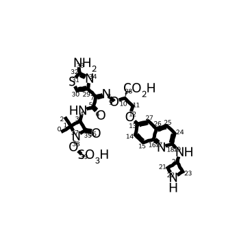 CC1(C)C(NC(=O)/C(=N\O[C@@H](COc2ccc3nc(NC4CNC4)ccc3c2)C(=O)O)c2csc(N)n2)C(=O)N1OS(=O)(=O)O